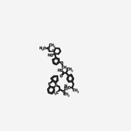 CC(C)Cc1ccc(C(C)C(=O)O)cc1.CC(CN1c2ccccc2Sc2ccccc21)N(C)C.COc1cccc([C@@]2(O)CCCC[C@@H]2CN(C)C)c1